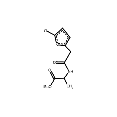 CC(C)COC(=O)C(C)NC(=O)Cc1ccc(Cl)s1